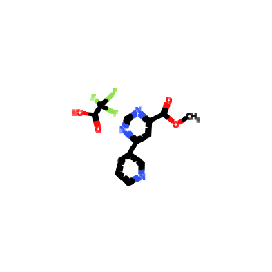 COC(=O)c1cc(-c2cccnc2)ncn1.O=C(O)C(F)(F)F